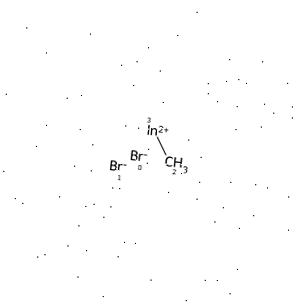 [Br-].[Br-].[CH3][In+2]